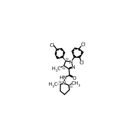 C[C@@H]1C(C(=O)NN2[C@@H](C)CCC[C@@H]2C)=NN(c2ccc(Cl)cc2Cl)[C@@H]1c1ccc(Cl)cc1